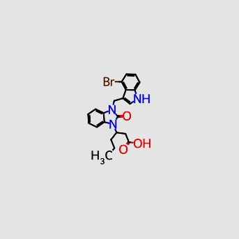 CCCC(CC(=O)O)n1c(=O)n(Cc2c[nH]c3cccc(Br)c23)c2ccccc21